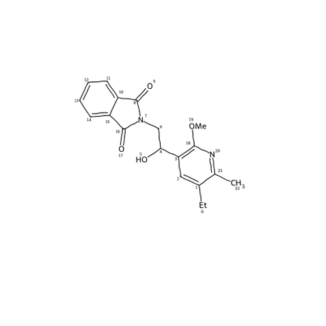 CCc1cc(C(O)CN2C(=O)c3ccccc3C2=O)c(OC)nc1C